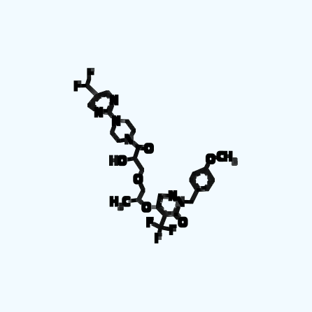 COc1ccc(Cn2ncc(OC(C)COCC(O)C(=O)N3CCN(c4ncc(C(F)F)cn4)CC3)c(C(F)(F)F)c2=O)cc1